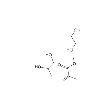 C=C(C)C(=O)OC.CC(O)CO.OCCO